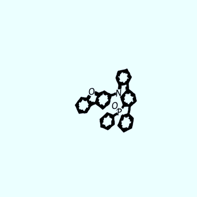 O=P1(c2ccccc2)c2ccccc2-c2ccc3c4ccccc4n(-c4ccc5c(c4)oc4ccccc45)c3c21